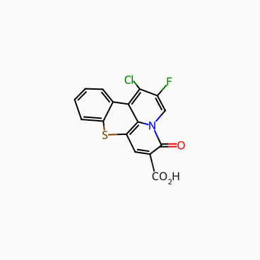 O=C(O)c1cc2c3c(c(Cl)c(F)cn3c1=O)-c1ccccc1S2